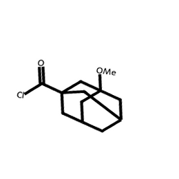 COC12CC3CC(C1)CC(C(=O)Cl)(C3)C2